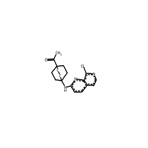 CC(=O)C12CCC(Nc3ccc4ccnc(Cl)c4n3)(CC1)CC2